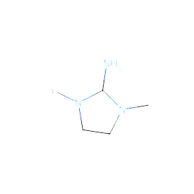 CC(C)N1CCN(C)C1N